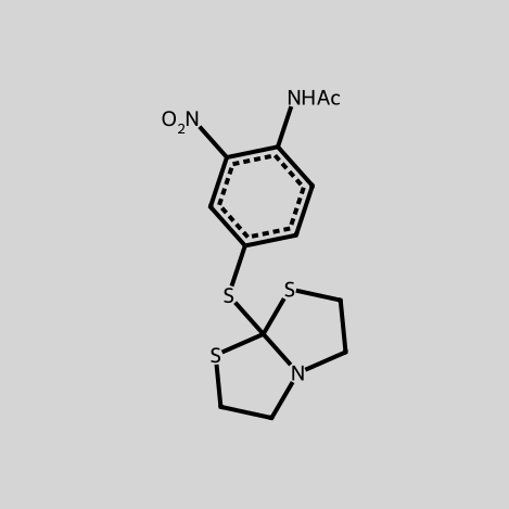 CC(=O)Nc1ccc(SC23SCCN2CCS3)cc1[N+](=O)[O-]